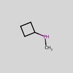 CPC1CCC1